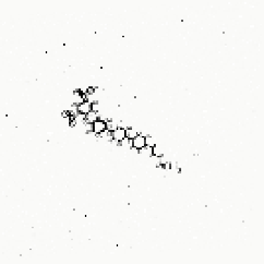 CCCCCC1CCC(C2CCC(c3ccc(Oc4ccc([N+](=O)[O-])cc4[N+](=O)[O-])cc3)CC2)CC1